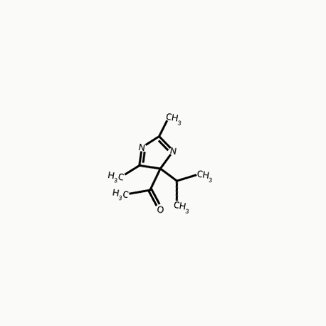 CC(=O)C1(C(C)C)N=C(C)N=C1C